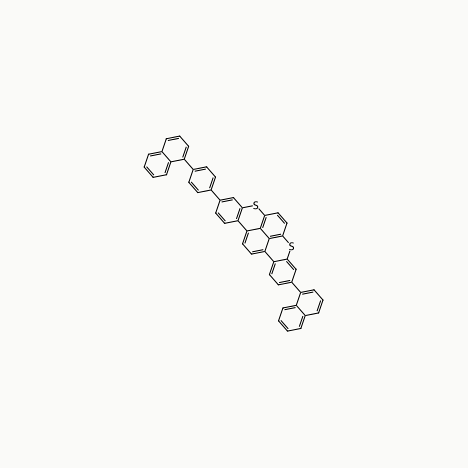 c1ccc2c(-c3ccc(-c4ccc5c(c4)Sc4ccc6c7c(ccc-5c47)-c4ccc(-c5cccc7ccccc57)cc4S6)cc3)cccc2c1